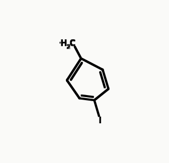 [CH2]c1ccc(I)cc1